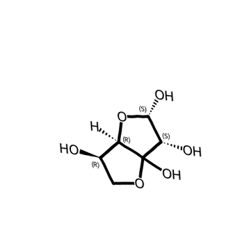 O[C@@H]1COC2(O)[C@@H]1O[C@H](O)[C@@H]2O